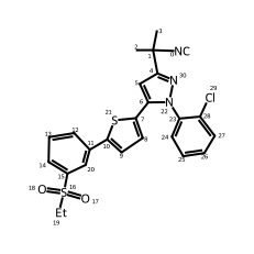 [C-]#[N+]C(C)(C)c1cc(-c2ccc(-c3cccc(S(=O)(=O)CC)c3)s2)n(-c2ccccc2Cl)n1